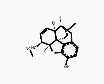 CC#N.CN1CC[C@]23c4c5ccc(O)c4O[C@H]2[C@@H](O)C=C[C@H]3[C@H]1C5